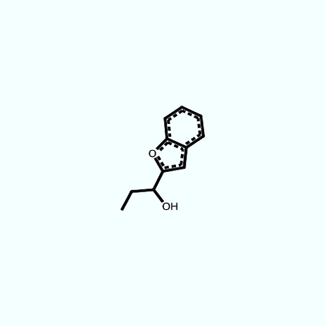 CCC(O)c1cc2ccccc2o1